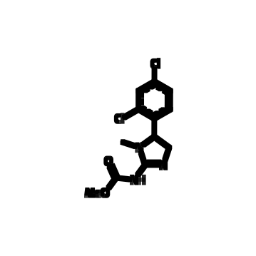 COC(=O)NC1=NCC(c2ccc(Cl)cc2Cl)N1C